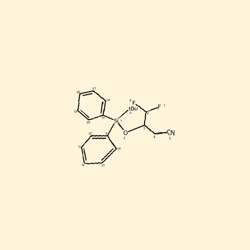 CC(C)(C)[Si](OC(CC#N)C(F)F)(c1ccccc1)c1ccccc1